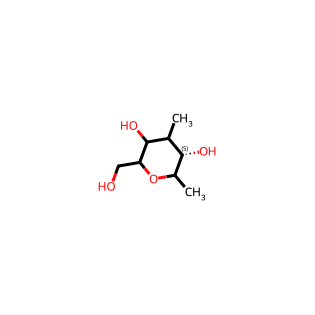 CC1OC(CO)C(O)C(C)[C@@H]1O